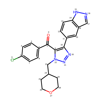 O=C(c1ccc(Cl)cc1)c1c(-c2ccc3[nH]ncc3c2)nnn1CC1CCOCC1